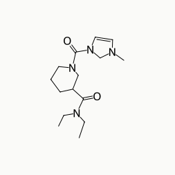 CCN(CC)C(=O)C1CCCN(C(=O)N2C=CN(C)C2)C1